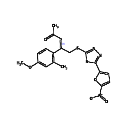 COc1ccc(/C(=C\C(C)=O)CSc2nnc(-c3ccc([N+](=O)[O-])o3)s2)c(C)c1